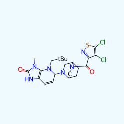 Cn1c2c([nH]c1=O)C=CC(N1CC3CCC1CN3C(=O)c1nsc(Cl)c1Cl)N2CC(C)(C)C